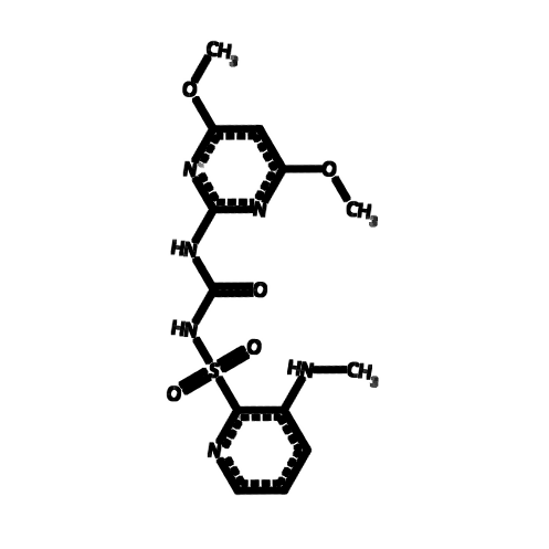 CNc1cccnc1S(=O)(=O)NC(=O)Nc1nc(OC)cc(OC)n1